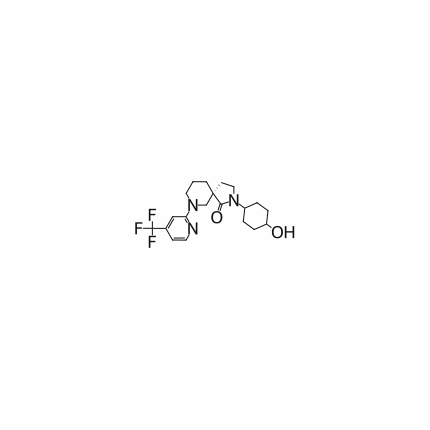 O=C1N(C2CCC(O)CC2)CC[C@]12CCCN(c1cc(C(F)(F)F)ccn1)C2